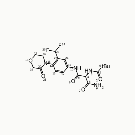 CC(C)(C)C(=O)N[C@@H](C(N)=O)C(=O)Nc1ccc(N2CCOCC2=O)c(C(F)F)c1